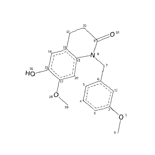 COc1cccc(CN2C(=O)CCc3cc(O)c(OC)cc32)c1